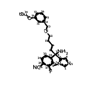 Cn1cncc1C(N)(CCCCOCc1cccc(OC(C)(C)C)c1)c1ccc(C#N)c(F)c1